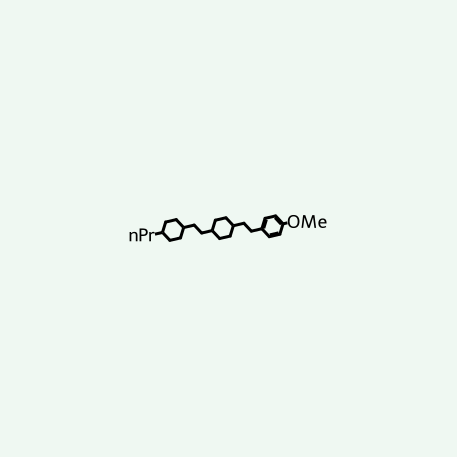 CCCC1CCC(CCC2CCC(CCc3ccc(OC)cc3)CC2)CC1